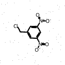 O=[N+]([O-])c1cc(CCl)cc([N+](=O)[O-])c1